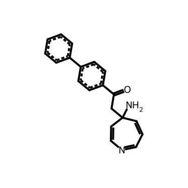 NC1(CC(=O)c2ccc(-c3ccccc3)cc2)C=CC=NC=C1